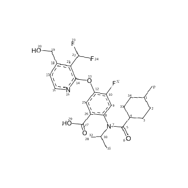 CC1CCC(C(=O)N(c2cc(F)c(Oc3nccc(CO)c3C(F)F)cc2C(=O)O)C(C)C)CC1